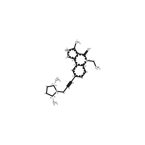 CCn1c(=O)c2c(C)[nH]nc2c2cc(C#CCN3[C@H](C)CC[C@@H]3C)ccc21